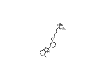 CCCCN(CCCC)CCCCOc1cccc(-c2cn3cccc(C)c3n2)c1